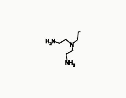 [CH2]CN(CCN)CCN